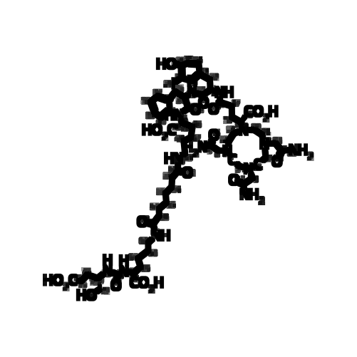 NC(=O)CN1CCN(CC(N)=O)CCN([C@@H](CCC(=O)NC(Cc2ccc(O)c(I)c2)C(=O)NC(Cc2ccccc2)C(=O)N[C@H](CCCCNC(=O)CCCCCCC(=O)NCCCCC(NC(=O)N[C@H](CO)CCC(=O)O)C(=O)O)C(=O)O)C(=O)O)CCN(CC(N)=O)CC1